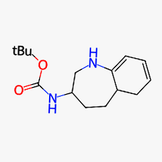 CC(C)(C)OC(=O)NC1CCC2CC=CC=C2NC1